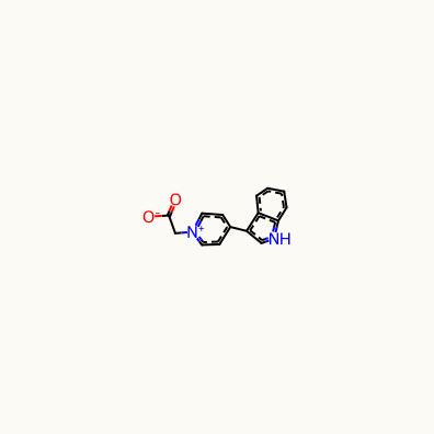 O=C([O-])C[n+]1ccc(-c2c[nH]c3ccccc23)cc1